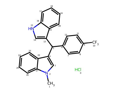 Cl.Cn1cc([C](c2ccc(C(F)(F)F)cc2)c2c[nH]c3ccccc23)c2ccccc21